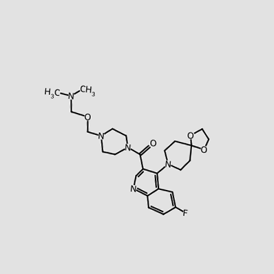 CN(C)COCN1CCN(C(=O)c2cnc3ccc(F)cc3c2N2CCC3(CC2)OCCO3)CC1